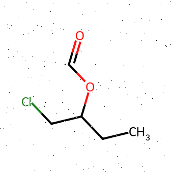 CCC(CCl)O[C]=O